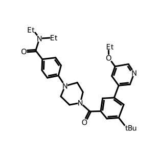 CCOc1cncc(-c2cc(C(=O)N3CCN(c4ccc(C(=O)N(CC)CC)cc4)CC3)cc(C(C)(C)C)c2)c1